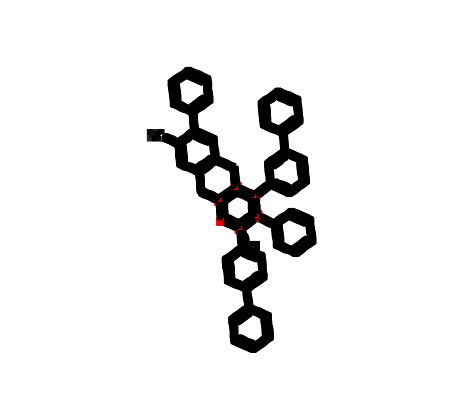 N#Cc1cc2c(cc1-c1ccccc1)C1c3cc(-c4ccccc4)c(C#N)cc3C2c2nc(-c3ccc(-c4ccccc4)cc3)nc(-c3cccc(-c4ccccc4)c3)c21